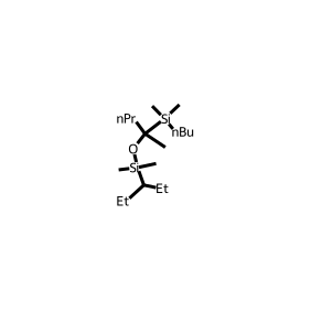 CCCC[Si](C)(C)C(C)(CCC)O[Si](C)(C)C(CC)CC